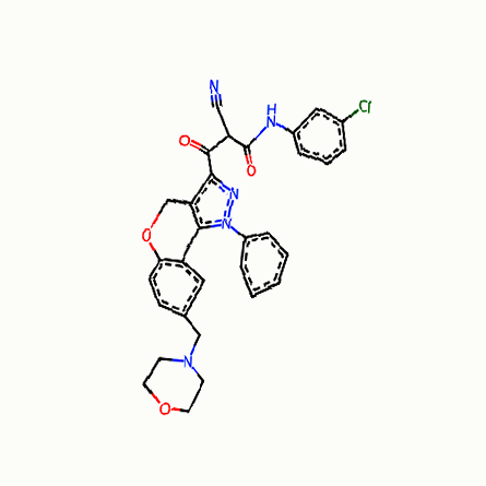 N#CC(C(=O)Nc1cccc(Cl)c1)C(=O)c1nn(-c2ccccc2)c2c1COc1ccc(CN3CCOCC3)cc1-2